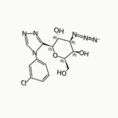 [N-]=[N+]=N[C@H]1[C@@H](O)[C@@H](CO)O[C@@H](c2nncn2-c2cccc(Cl)c2)[C@@H]1O